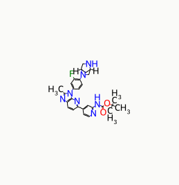 Cc1nc2ccc(-c3ccnc(NC(=O)OC(C)(C)C)c3)nc2n1-c1ccc(N2C[C@@H]3C[C@H]2CN3)c(F)c1